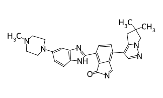 CN1CCN(c2ccc3[nH]c(-c4ccc(-c5cnn6c5CC(C)(C)C6)c5c4C(=O)N=C5)nc3c2)CC1